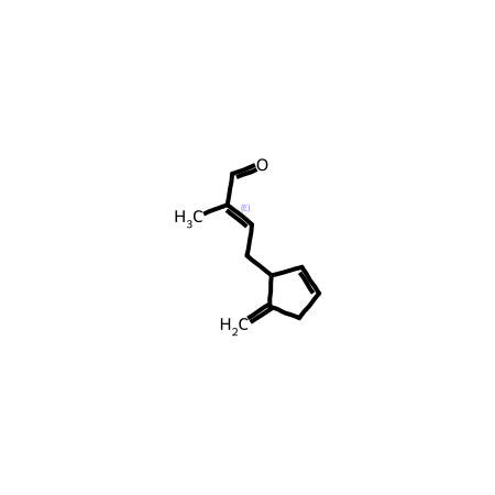 C=C1CC=CC1C/C=C(\C)C=O